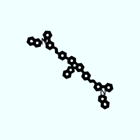 C(=C\c1ccc2c(c1)c1ccccc1n2-c1ccc2ccccc2c1)/c1ccc(-c2ccc3c(c2)C2(Cc4ccccc4C2)c2cc(-c4ccc(/C=C/c5ccc6c(c5)c5ccccc5n6-c5ccc6ccccc6c5)cc4)ccc2-3)cc1